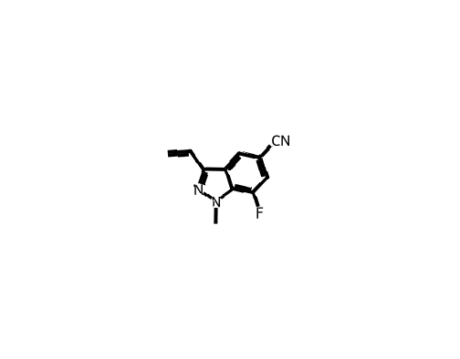 C=Cc1nn(C)c2c(F)cc(C#N)cc12